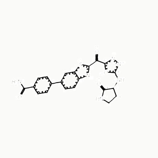 NC(=O)c1ccc(-c2ccc3nc(C(=O)c4nnc(N[C@H]5CCNC5=O)o4)sc3c2)cc1